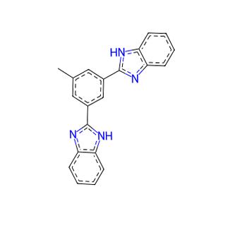 Cc1cc(-c2nc3ccccc3[nH]2)cc(-c2nc3ccccc3[nH]2)c1